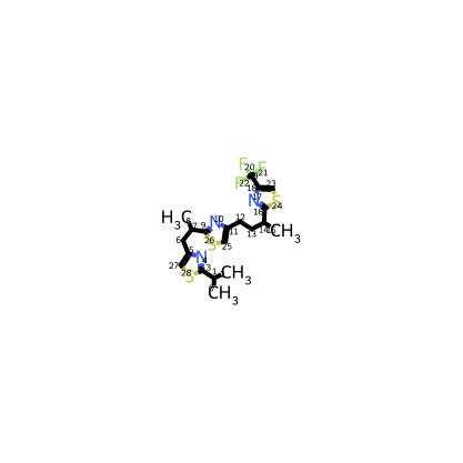 CC(C)c1nc(CC(C)c2nc(CCC(C)c3nc(C(F)(F)F)cs3)cs2)cs1